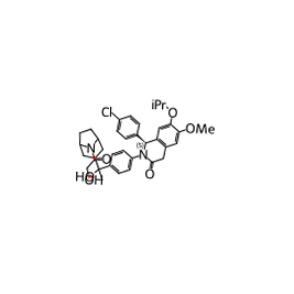 COc1cc2c(cc1OC(C)C)[C@H](c1ccc(Cl)cc1)N(c1ccc(C(C)(O)C3CC4CCC(C3)N4C(=O)CO)cc1)C(=O)C2